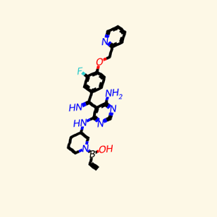 C=CB(O)N1CCCC(Nc2ncnc(N)c2C(=N)c2ccc(OCc3ccccn3)c(F)c2)C1